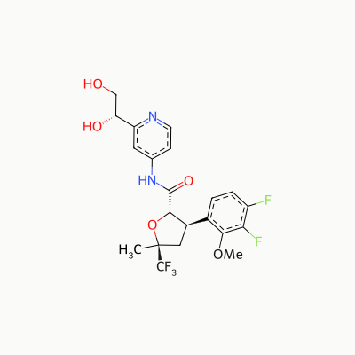 COc1c([C@H]2C[C@@](C)(C(F)(F)F)O[C@@H]2C(=O)Nc2ccnc([C@H](O)CO)c2)ccc(F)c1F